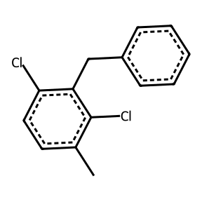 Cc1ccc(Cl)c(Cc2ccccc2)c1Cl